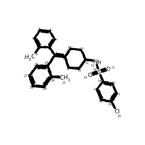 Cc1ccccc1C(=C1CCC(NS(=O)(=O)c2ccc(Cl)cc2)CC1)c1ccccc1C